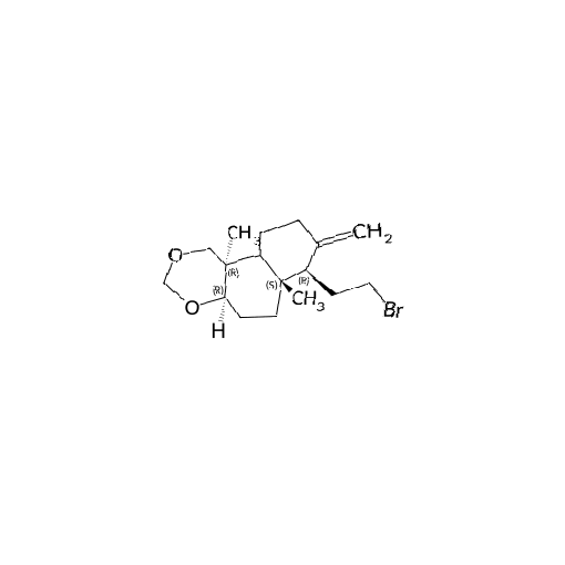 C=C1CCC2[C@]3(C)COCO[C@@H]3CC[C@@]2(C)[C@@H]1CCBr